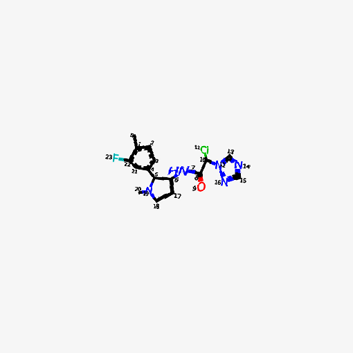 Cc1ccc(C2C(NC(=O)C(Cl)n3cncn3)CCN2C)cc1F